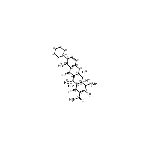 CNC1C(O)=C(C(N)=O)C(=O)[C@@]2(O)C(O)=C3C(=O)c4c(ccc(N5CCCCC5)c4O)C[C@H]3C[C@@H]12